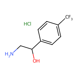 Cl.NCC(O)c1ccc(C(F)(F)F)cc1